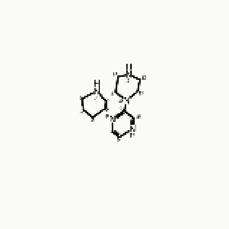 C1CCNCC1.c1cnc(N2CCNCC2)cn1